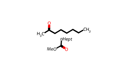 CCCCCCC(C)=O.CCCCCCCC(=O)OC